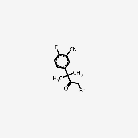 CC(C)(C(=O)CBr)c1ccc(F)c(C#N)c1